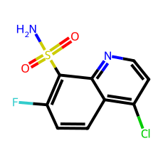 NS(=O)(=O)c1c(F)ccc2c(Cl)ccnc12